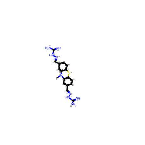 CN1c2cc(/C=N/NC(=N)N)ccc2Sc2ccc(/C=N/NC(=N)N)cc21